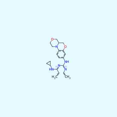 C=C/N=C(\N=C(/C=C)NC1CC1)Nc1ccc2c(c1)OCC1COCCN21